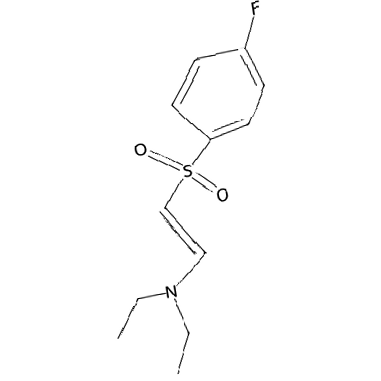 CCN(C=CS(=O)(=O)c1ccc(F)cc1)CC